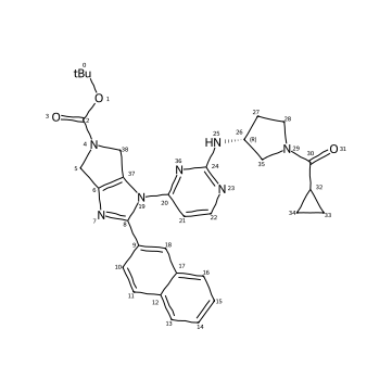 CC(C)(C)OC(=O)N1Cc2nc(-c3ccc4ccccc4c3)n(-c3ccnc(N[C@@H]4CCN(C(=O)C5CC5)C4)n3)c2C1